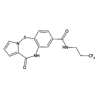 O=C(NCCC(F)(F)F)c1ccc2c(c1)NC(=O)c1cccn1S2